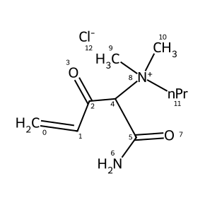 C=CC(=O)C(C(N)=O)[N+](C)(C)CCC.[Cl-]